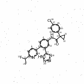 O=C(Nc1ccc(-c2ccc(C(F)F)nc2)c(-c2nnn[nH]2)c1)C1(c2ccc(Cl)cc2)CC1